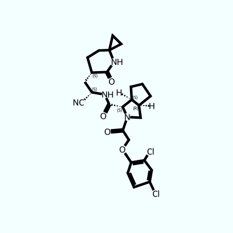 N#C[C@H](C[C@@H]1CCC2(CC2)NC1=O)NC(=O)[C@@H]1[C@H]2CCC[C@H]2CN1C(=O)COc1ccc(Cl)cc1Cl